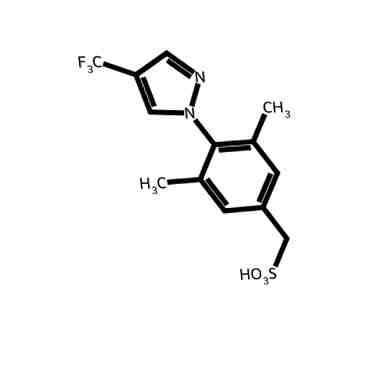 Cc1cc(CS(=O)(=O)O)cc(C)c1-n1cc(C(F)(F)F)cn1